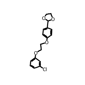 Clc1cccc(OCCOc2ccc(C3OCCO3)cc2)c1